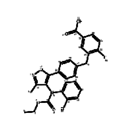 CCOC(=O)N(c1ccccc1Cl)c1c(C)noc1-c1ccc(Cc2cc(C(=O)O)ccc2Cl)cc1